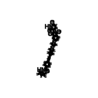 CC1(C)CC(C)(C)C1NC(=O)c1ccc(C#CC2CC3(C2)CN(C2CN(c4ccc5c(c4)C(=O)N(C4CCC(=O)NC4=O)C5=O)C2)C3)cc1